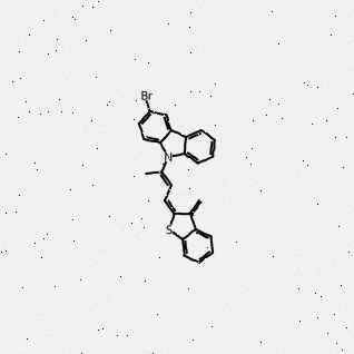 C=c1/c(=C\C=C(/C)n2c3ccccc3c3cc(Br)ccc32)sc2ccccc12